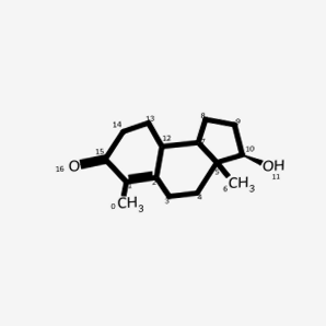 CC1=C2CCC3(C)C(CC[C@H]3O)C2CCC1=O